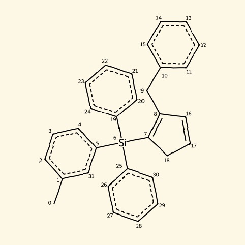 Cc1cccc([Si](C2=C(Cc3ccccc3)C=CC2)(c2ccccc2)c2ccccc2)c1